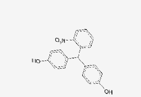 O=[N+]([O-])c1ccccc1C(c1ccc(O)cc1)c1ccc(O)cc1